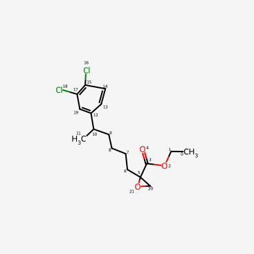 CCOC(=O)C1(CCCCC(C)c2ccc(Cl)c(Cl)c2)CO1